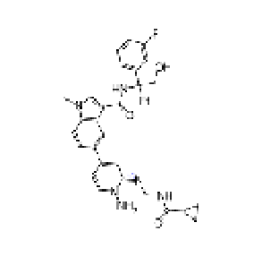 CCC(CO)(NC(=O)c1cn(C)c2ccc(-c3ccn(N)/c(=N\CNC(=O)C4CC4)c3)cc12)c1cccc(F)c1